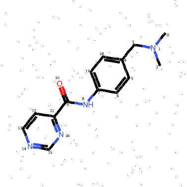 CN(C)Cc1ccc(NC(=O)c2ccncn2)cc1